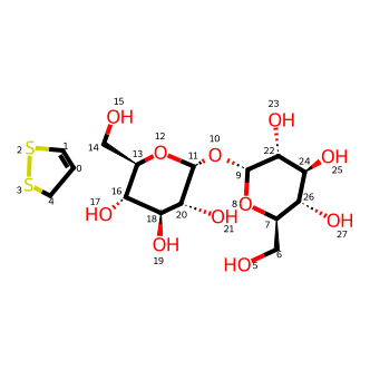 C1=CSSC1.OC[C@H]1O[C@H](O[C@H]2O[C@H](CO)[C@@H](O)[C@H](O)[C@H]2O)[C@H](O)[C@@H](O)[C@@H]1O